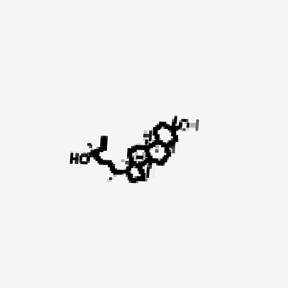 C=C[C@](C)(O)CC[C@@H](C)C1CC[C@H]2[C@@H]3CC[C@H]4C[C@@](C)(O)CC[C@]4(C)[C@H]3CC[C@]12C